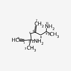 C#CC(C)(N)CC(=C)CC(C)N